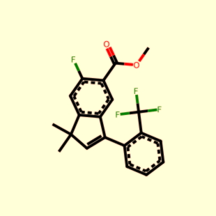 COC(=O)c1cc2c(cc1F)C(C)(C)C=C2c1ccccc1C(F)(F)F